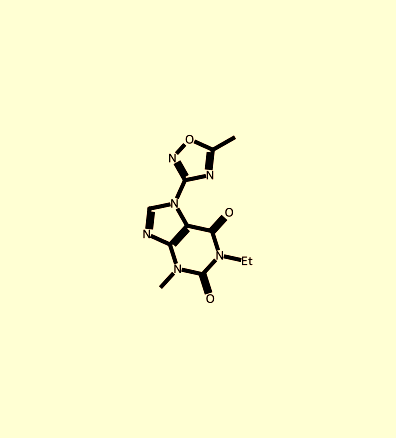 CCn1c(=O)c2c(ncn2-c2noc(C)n2)n(C)c1=O